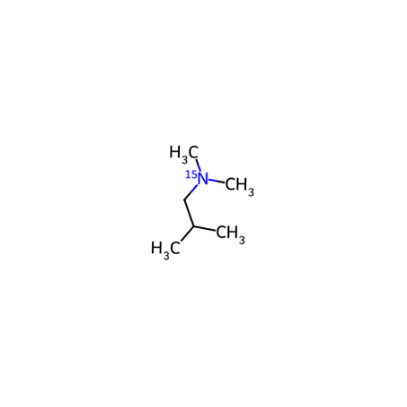 CC(C)C[15N](C)C